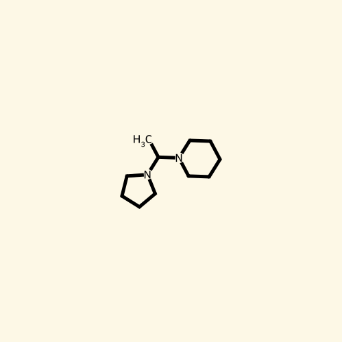 CC(N1CCCCC1)N1CCCC1